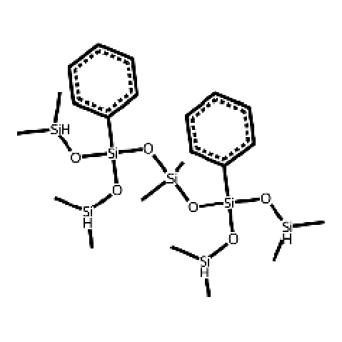 C[SiH](C)O[Si](O[SiH](C)C)(O[Si](C)(C)O[Si](O[SiH](C)C)(O[SiH](C)C)c1ccccc1)c1ccccc1